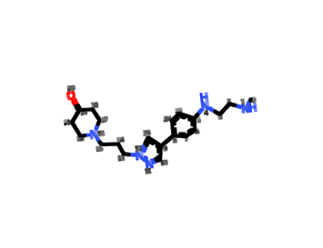 CNCCNc1ccc(-c2cnn(CCCN3CCC(=O)CC3)c2)cc1